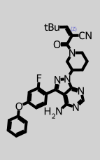 CC(C)(C)/C=C(/C#N)C(=O)N1CCCC(n2nc(-c3ccc(Oc4ccccc4)cc3F)c3c(N)ncnc32)C1